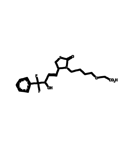 O=C(O)COCCCCN1C(=O)SCC1/C=C/C(O)C(F)(F)c1ccccc1